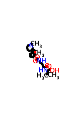 CCC1(c2cccc(OC(=O)NCCCC(=O)N[C@H](C(=O)O)C(C)C)c2)CCCCN(C)C1